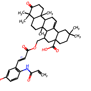 C=CC(=O)Nc1ccc(O)cc1/C=C/C(=O)OCC1CC2(C(=O)O)CCC(C)(C)CC2C2=CCC3C(C)(CCC4C(C)(C)C(=O)CCC43C)C21